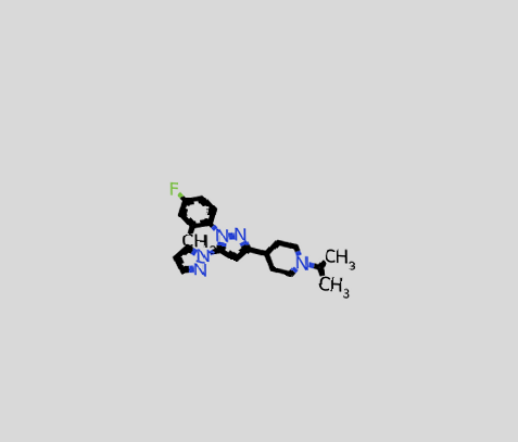 Cc1cc(F)ccc1-n1nc(C2CCN(C(C)C)CC2)cc1-n1cccn1